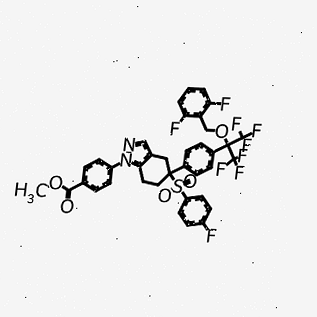 COC(=O)c1ccc(-n2ncc3c2CCC(c2ccc(C(OCc4c(F)cccc4F)(C(F)(F)F)C(F)(F)F)cc2)(S(=O)(=O)c2ccc(F)cc2)C3)cc1